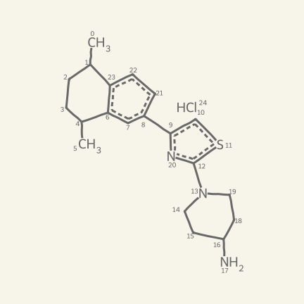 CC1CCC(C)c2cc(-c3csc(N4CCC(N)CC4)n3)ccc21.Cl